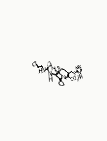 O=C(NCCCl)NC1C(=O)N2C(C(=O)O)=C(CSc3nnc[nH]3)CS[C@H]12